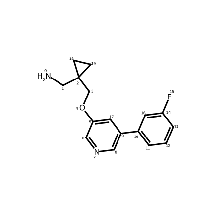 NCC1(COc2cncc(-c3cccc(F)c3)c2)CC1